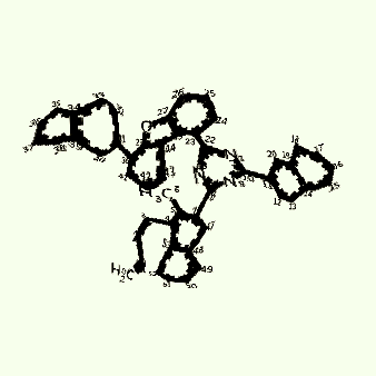 C=C/C=C\c1c(C)c(-c2nc(-c3ccc4ccccc4c3)nc(-c3cccc4oc5c(-c6ccc7ccccc7c6)cccc5c34)n2)cc2ccccc12